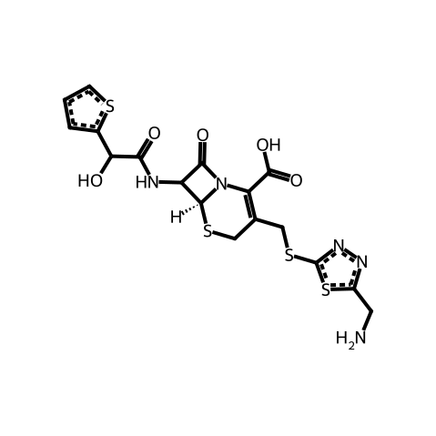 NCc1nnc(SCC2=C(C(=O)O)N3C(=O)C(NC(=O)C(O)c4cccs4)[C@@H]3SC2)s1